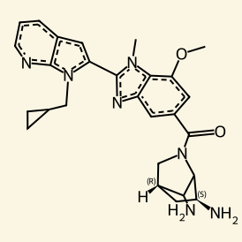 COc1cc(C(=O)N2C[C@H]3C[C@H](N)C2C3N)cc2nc(-c3cc4cccnc4n3CC3CC3)n(C)c12